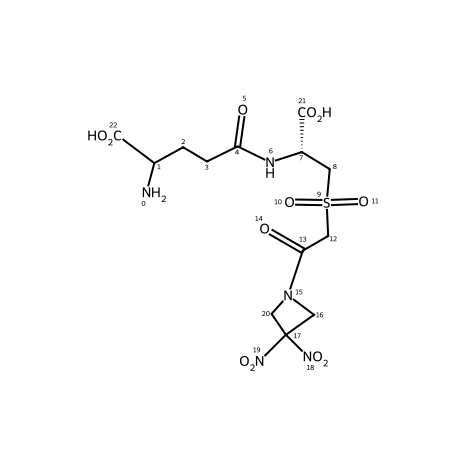 NC(CCC(=O)N[C@@H](CS(=O)(=O)CC(=O)N1CC([N+](=O)[O-])([N+](=O)[O-])C1)C(=O)O)C(=O)O